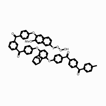 COc1cc2cc(SOOO)ccc2cc1Oc1ccc(C(=O)c2cccc(C(=O)c3ccc(Oc4ccc(Oc5ccc(C(=O)c6ccc(C(=O)c7ccc(C)cc7)cc6)cc5)c5c4C4C=CC5C4)cc3)c2)cc1